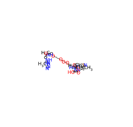 Cc1ncsc1-c1ccc(CNC(=O)[C@@H]2C[C@@H](O)CN2C(=O)[C@@H](NC(=O)CCCCCOCCOCCOCCCCCCOc2cccc([C@@H](C)NC(=O)c3cccc(NCc4nnc(-c5ccncn5)n4C)c3)c2)C(C)(C)C)cc1